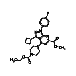 CCOC(=O)N1CCN(c2cc(C(=O)OC)nc3c2c(C2CCC2)nn3-c2ccc(F)cc2)CC1